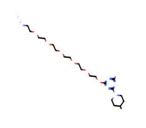 CC1CCN(c2nc(N)nc(OCCOCCOCCOCCOCCOCCN=[N+]=[N-])n2)CC1